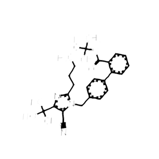 CCCCc1nc(C(C)(C)O)c(C#N)n1Cc1ccc(-c2ccccc2C(=O)OC(C)(C)C)cc1